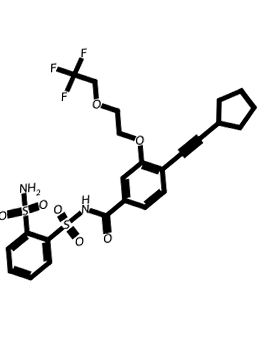 NS(=O)(=O)c1ccccc1S(=O)(=O)NC(=O)c1ccc(C#CC2CCCC2)c(OCCOCC(F)(F)F)c1